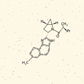 Cc1ccc2c(ccc3[nH]c([C@@H]4C[C@@H]5C[C@@H]5N4C(=O)[C@@H](C)C(C)C)nc32)c1